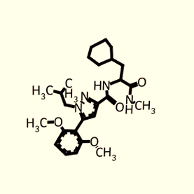 CNC(=O)C(CC1CCCCC1)NC(=O)c1cc(-c2c(OC)cccc2OC)n(CC(C)C)n1